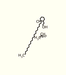 CCCCCCCCCCCCCCCCCCCCC1(Cl)CCCCC1CCO.CNC